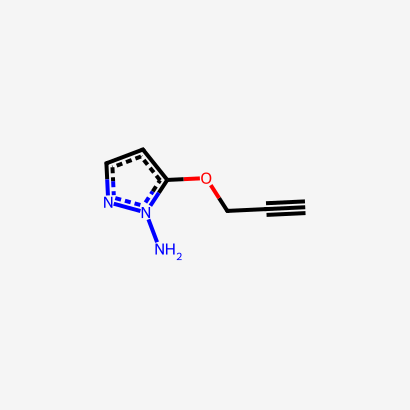 C#CCOc1ccnn1N